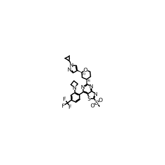 CS(=O)(=O)c1nc2nc([C@@H]3CCO[C@H](c4cnn(C5CC5)c4)C3)nc(-c3ccc(C(F)(F)F)cc3N3CCC3)c2s1